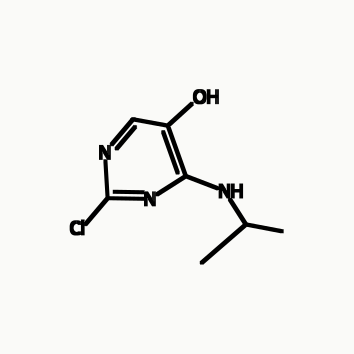 CC(C)Nc1nc(Cl)ncc1O